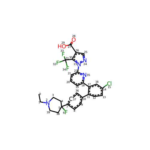 CCN1CCC(F)(c2ccc(-c3ccc(Cl)cc3-c3cccc(-n4ncc(C(=O)O)c4C(F)(F)F)n3)cc2)CC1